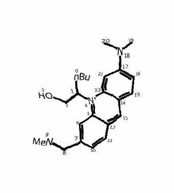 CCCCC(CO)[n+]1c2cc(CNC)ccc2cc2ccc(N(C)C)cc21